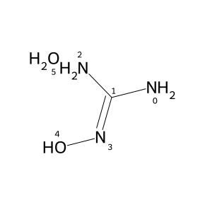 NC(N)=NO.O